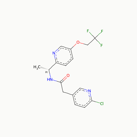 C[C@@H](NC(=O)Cc1ccc(Cl)nc1)c1ccc(OCC(F)(F)F)cn1